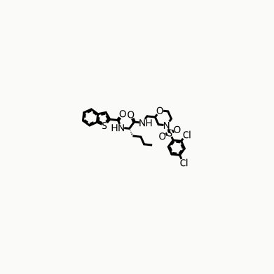 CCCC[C@H](NC(=O)c1cc2ccccc2s1)C(=O)NCC1CN(S(=O)(=O)c2ccc(Cl)cc2Cl)CCO1